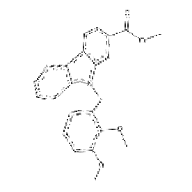 COC(=O)c1ccc2c3ccccc3n(Cc3cccc(OC)c3OC)c2c1